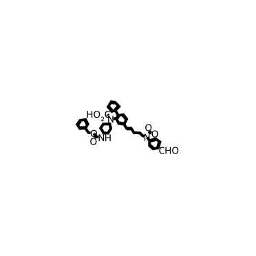 O=Cc1ccc2c(c1)oc(=O)n2CCCC=Cc1ccc(-c2ccccc2)c(N(C(=O)O)C2CCC(NC(=O)OCc3ccccc3)CC2)c1